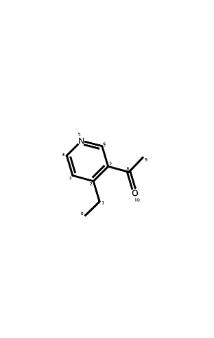 CCc1ccn[c]c1C(C)=O